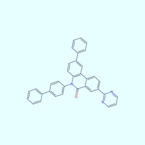 O=c1c2cc(-c3ncccn3)ccc2c2cc(-c3ccccc3)ccc2n1-c1ccc(-c2ccccc2)cc1